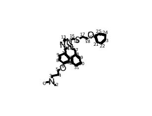 CN(C)CCCOc1ccc(C2N=CN(CSCCOc3ccccc3)N2Cc2ccccc2)cc1